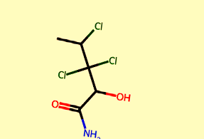 CC(Cl)C(Cl)(Cl)C(O)C(N)=O